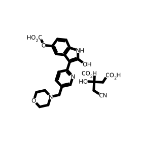 N#CCC(O)(CC(=O)O)C(=O)O.O=C(O)Oc1ccc2[nH]c(O)c(-c3ccc(CN4CCOCC4)cn3)c2c1